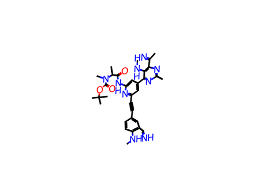 CNc1ccc(C#Cc2cc(-c3nc(C)nc(C(C)=N)c3NC)cc(NC(=O)C(C)N(C)C(=O)OC(C)(C)C)n2)cc1C=N